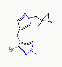 Cn1cc(Cc2cnn(CC3(C)CC3)c2)c(Br)n1